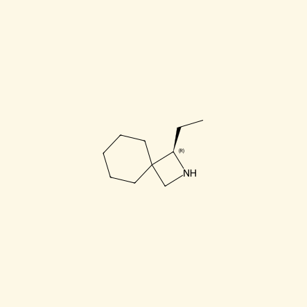 CC[C@H]1NCC12CCCCC2